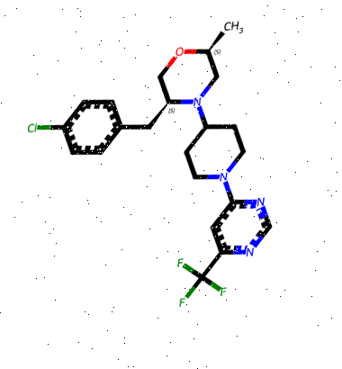 C[C@H]1CN(C2CCN(c3cc(C(F)(F)F)ncn3)CC2)[C@@H](Cc2ccc(Cl)cc2)CO1